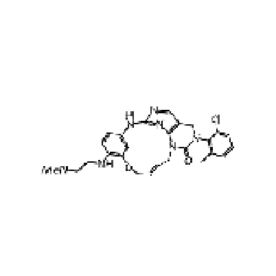 CNCCNc1ccc2cc1OC/C=C/CN1C(=O)N(c3c(C)cccc3Cl)Cc3cnc(nc31)N2